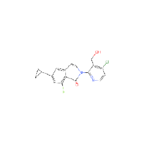 O=c1c2c(F)cc(C3CC3)cc2ccn1-c1nccc(Cl)c1CO